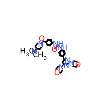 CN(C)C1CCN(C(=O)c2ccc(NC(=O)Nc3ccc(-c4cc(N5CCOCC5)nc(N5CCOCC5)n4)cc3)cc2)CC1